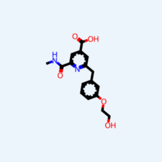 CNC(=O)c1cc(C(=O)O)cc(Cc2cccc(OCCO)c2)n1